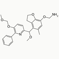 COCOc1ccc(C(OC)c2c(C)cc(OCN)c3c2CCO3)nc1-c1ccccc1